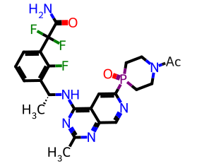 CC(=O)N1CCP(=O)(c2cc3c(N[C@H](C)c4cccc(C(F)(F)C(N)=O)c4F)nc(C)nc3cn2)CC1